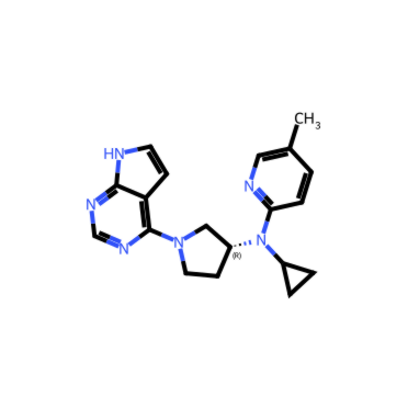 Cc1ccc(N(C2CC2)[C@@H]2CCN(c3ncnc4[nH]ccc34)C2)nc1